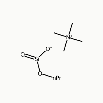 CCCO[Si](=O)[O-].C[N+](C)(C)C